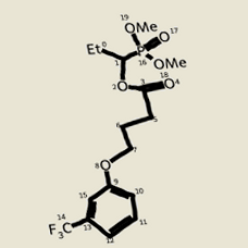 CCC(OC(=O)CCCOc1cccc(C(F)(F)F)c1)P(=O)(OC)OC